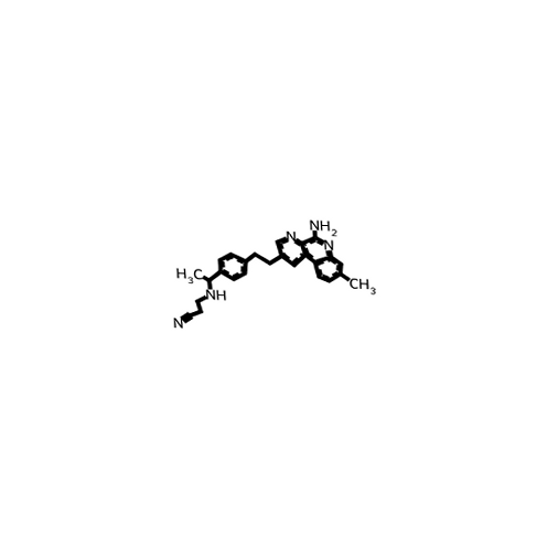 Cc1ccc2c(c1)nc(N)c1ncc(CCc3ccc(C(C)NCCC#N)cc3)cc12